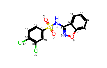 O=S(=O)(Nc1noc2ccccc12)c1ccc(Cl)c(Cl)c1